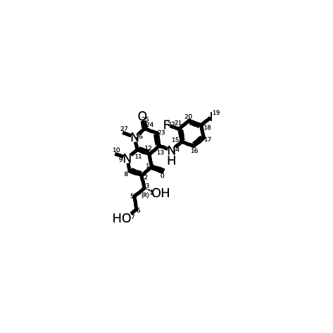 C=C1C([C@H](O)CCO)=CN(C)c2c1c(Nc1ccc(I)cc1F)cc(=O)n2C